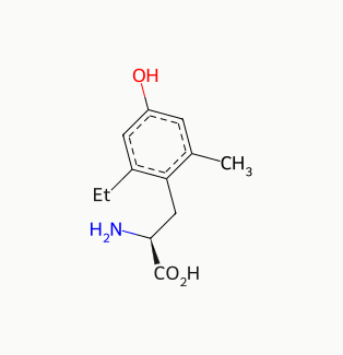 CCc1cc(O)cc(C)c1C[C@H](N)C(=O)O